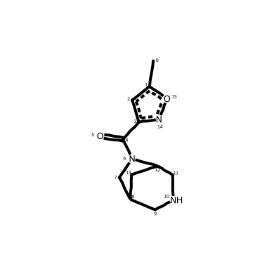 Cc1cc(C(=O)N2CC3CNCC2C3)no1